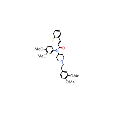 COc1ccc(CCN2CCC(N(C(=O)C=CC3=CC=CCC3=S)c3ccc(OC)c(OC)c3)CC2)cc1OC